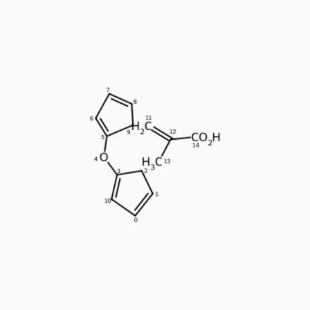 C1=CCC(OC2=CC=CC2)=C1.C=C(C)C(=O)O